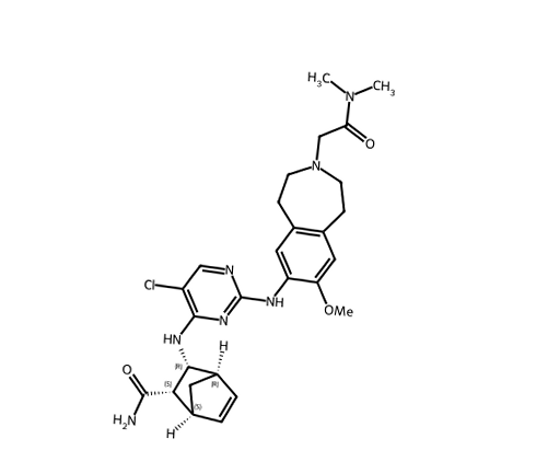 COc1cc2c(cc1Nc1ncc(Cl)c(N[C@H]3[C@@H](C(N)=O)[C@@H]4C=C[C@H]3C4)n1)CCN(CC(=O)N(C)C)CC2